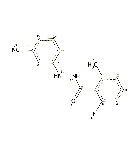 Cc1cccc(F)c1C(=O)NNc1cccc(C#N)c1